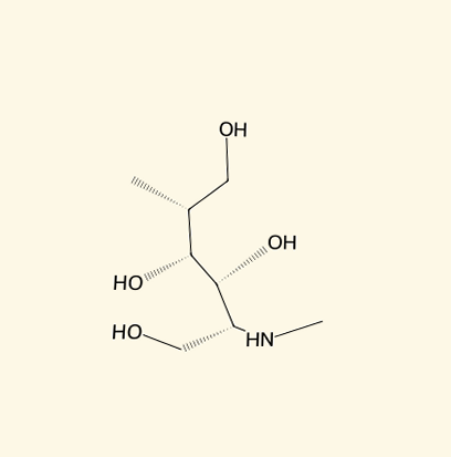 CN[C@H](CO)[C@@H](O)[C@H](O)[C@H](C)CO